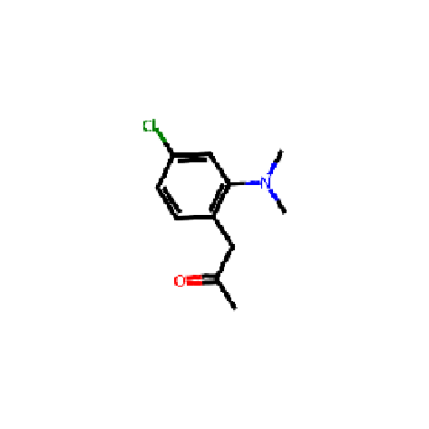 CC(=O)Cc1ccc(Cl)cc1N(C)C